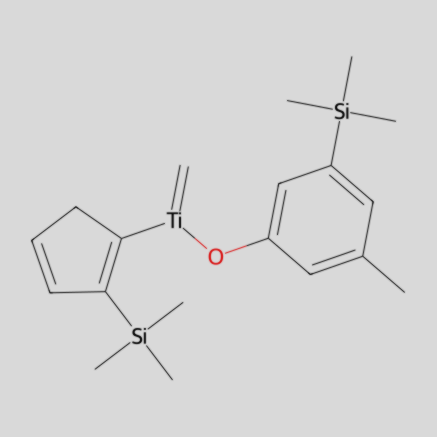 [CH2]=[Ti]([O]c1cc(C)cc([Si](C)(C)C)c1)[C]1=C([Si](C)(C)C)C=CC1